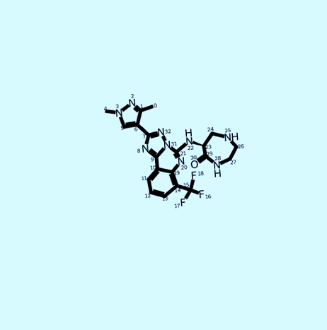 Cc1nn(C)cc1-c1nc2c3cccc(C(F)(F)F)c3nc(N[C@H]3CNCCNC3=O)n2n1